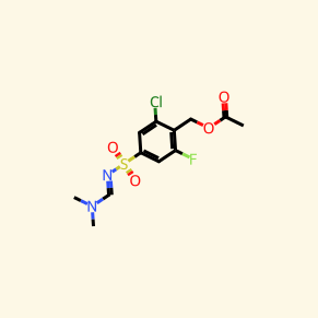 CC(=O)OCc1c(F)cc(S(=O)(=O)N=CN(C)C)cc1Cl